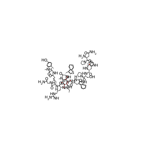 CCCC[C@@H](C(=O)N(C)[C@@H](CCCC)C(=O)N[C@@H](CCCNC(=N)N)C(=O)NC(CSCC(=O)N[C@@H](Cc1ccc(O)cc1)C(=O)NC)C(=O)NCC(N)=O)N(C)C(=O)[C@H](Cc1csc2ccccc12)NC(=O)[C@H](CO)NC(=O)[C@H](Cc1c[nH]c2ccccc12)NC(=O)[C@@H]1CCCN1C(=O)[C@H](CO)NC(=O)[C@H](Cc1cnc[nH]1)NC(=O)[C@@H]1CCCN1C(=O)[C@@H](N)CC(N)=O